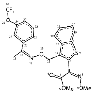 CON=C(C(=O)OC)c1sc2ccccc2c1CON=C(C)c1cccc(OC(F)(F)F)c1